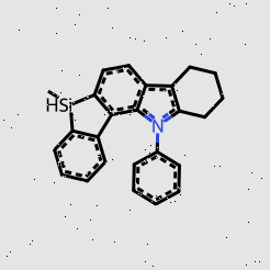 C[SiH]1c2ccccc2-c2c1ccc1c3c(n(-c4ccccc4)c21)CCCC3